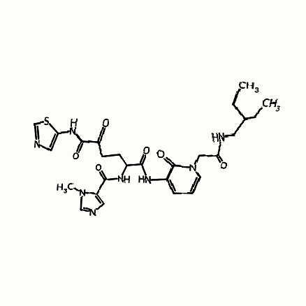 CCC(CC)CNC(=O)Cn1cccc(NC(=O)C(CCC(=O)C(=O)Nc2cncs2)NC(=O)c2cncn2C)c1=O